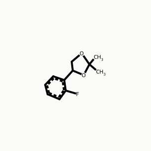 CC1(C)OCC(c2ccccc2F)O1